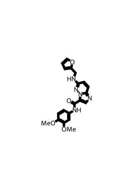 COc1ccc(NC(=O)c2cnc3ccc(NCc4ccco4)nn23)cc1OC